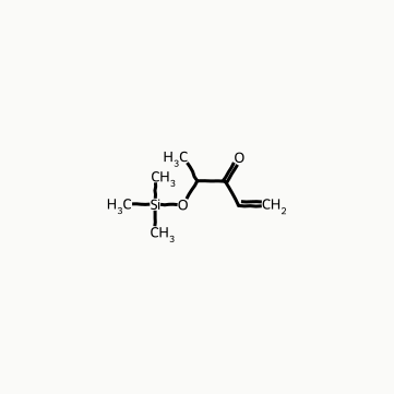 C=CC(=O)C(C)O[Si](C)(C)C